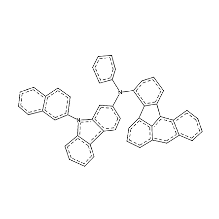 c1ccc(N(c2ccc3c4ccccc4n(-c4ccc5ccccc5c4)c3c2)c2cccc3c2-c2cccc4cc5ccccc5c-3c24)cc1